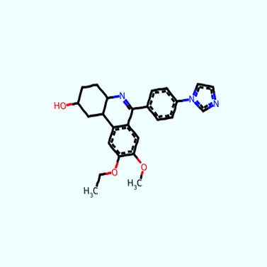 CCOc1cc2c(cc1OC)C(c1ccc(-n3ccnc3)cc1)=NC1CCC(O)CC21